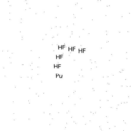 F.F.F.F.F.[Pu]